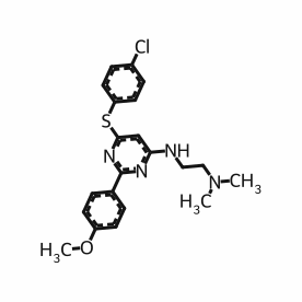 COc1ccc(-c2nc(NCCN(C)C)cc(Sc3ccc(Cl)cc3)n2)cc1